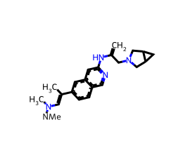 C=C(CN1CC2CC2C1)Nc1cc2cc(/C(C)=C/N(C)NC)ccc2cn1